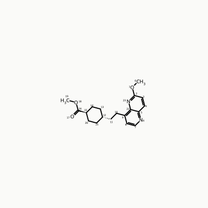 COc1ccc2nccc(CC[C@H]3CC[C@H](C(=O)OC)CC3)c2n1